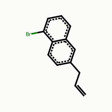 C=CCc1ccc2c(Br)cccc2c1